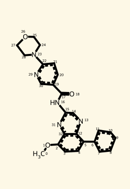 COc1ccc(-c2ccccc2)c2ncc(NC(=O)c3ccc(N4CCOCC4)nc3)nc12